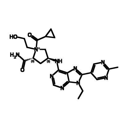 CCn1c(-c2cnc(C)nc2)nc2c(N[C@H]3C[C@H](C(N)=O)[N+](CCO)(C(=O)C4CC4)C3)ncnc21